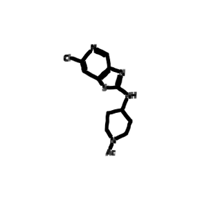 CC(=O)N1CCC(Nc2nc3cnc(Cl)cc3s2)CC1